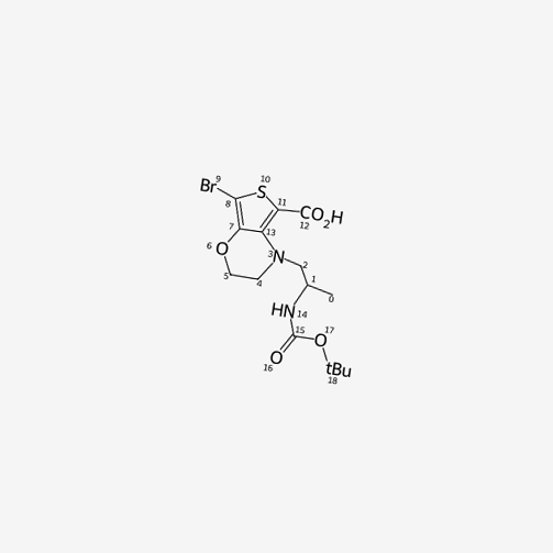 CC(CN1CCOc2c(Br)sc(C(=O)O)c21)NC(=O)OC(C)(C)C